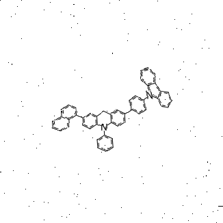 c1ccc(N2c3ccc(-c4ccc(-n5c6ccccc6c6ccccc65)cc4)cc3Cc3cc(-c4cccc5ccccc45)ccc32)cc1